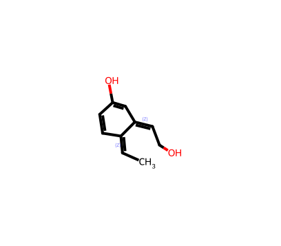 C/C=c1/ccc(O)c/c1=C/CO